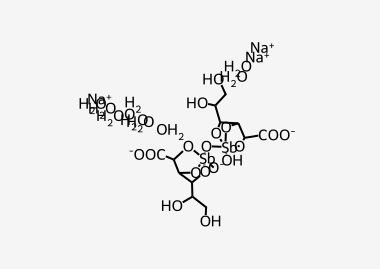 O.O.O.O.O.O.O.O.O.O=C([O-])C1[O][Sb]2([O-])([O][Sb]34([OH])[O]C(C(=O)[O-])C([O]3)C(C(O)CO)[O]4)[O]C(C(O)CO)C1[O]2.[Na+].[Na+].[Na+]